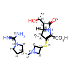 C[C@@H](O)[C@H]1C(=O)N2C(C(=O)O)=C(SC3CN(C[C@@H]4CCN(C(=N)N)C4)C3)[C@H](C)[C@H]12